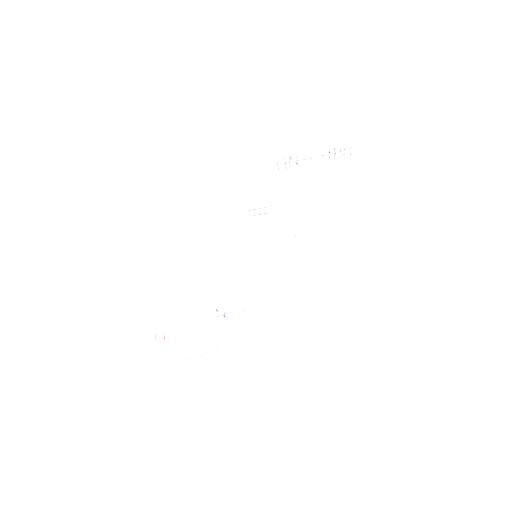 CC(C)(C)Nc1ccc(CN2CCOCC2)cc1